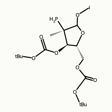 CC(C)(C)OC(=O)OC[C@H]1OC(OI)[C@](C)(P)[C@@H]1OC(=O)OC(C)(C)C